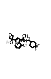 C=C(NCC1CCC(F)(F)CC1)c1cc(C2(O)COC2)n2cccc(Cl)c12